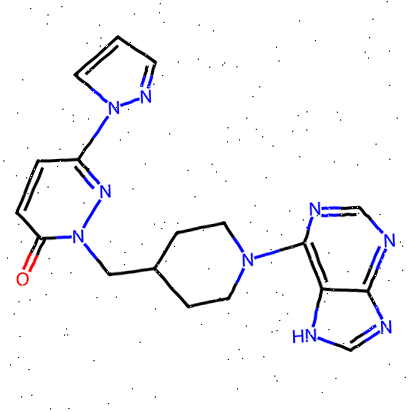 O=c1ccc(-n2cccn2)nn1CC1CCN(c2ncnc3nc[nH]c23)CC1